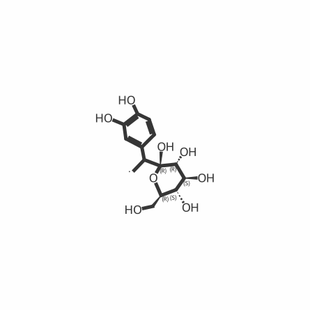 [CH2]C(c1ccc(O)c(O)c1)[C@@]1(O)O[C@H](CO)[C@@H](O)[C@H](O)[C@H]1O